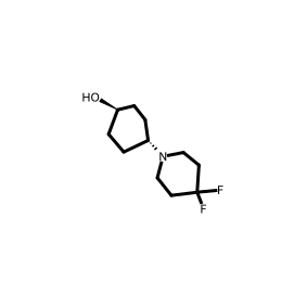 O[C@H]1CC[C@H](N2CCC(F)(F)CC2)CC1